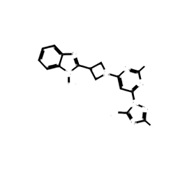 CCCn1c(C2CN(c3cc(-n4nc(C)nc4C)nc(C)n3)C2)nc2ccccc21